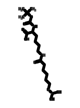 CC(C)(C)OC(=O)NC(CCCCNC(=O)CCCCCON(O)O)C(=O)O